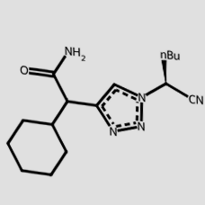 CCCC[C@@H](C#N)n1cc([C](C(N)=O)C2CCCCC2)nn1